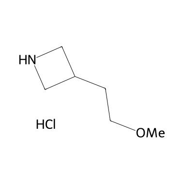 COCCC1CNC1.Cl